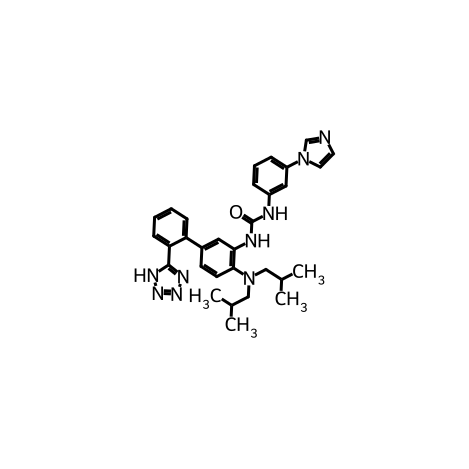 CC(C)CN(CC(C)C)c1ccc(-c2ccccc2-c2nnn[nH]2)cc1NC(=O)Nc1cccc(-n2ccnc2)c1